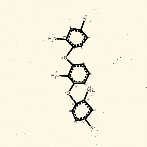 Cc1c(Oc2ccc(N)cc2N)cccc1Oc1ccc(N)cc1N